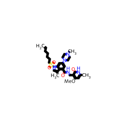 C=CCCCCCS(=O)(=O)n1cc(C)c2c(C(=O)NCc3c(OC)cc(C)[nH]c3=O)cc(N3CCN(C)CC3)cc21